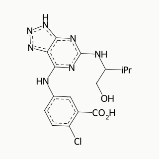 CC(C)C(CO)Nc1nc(Nc2ccc(Cl)c(C(=O)O)c2)c2nn[nH]c2n1